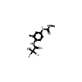 CNC(=O)Oc1ccc(NC(=O)C(F)(F)Cl)c(C)c1